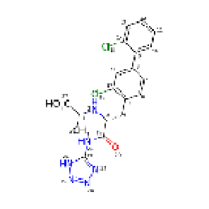 CC(N[C@H](Cc1ccc(-c2ccccc2Cl)cc1Cl)C(=O)Nc1nnn[nH]1)C(=O)O